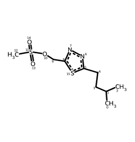 CC(C)CCc1nnc(COS(C)(=O)=O)s1